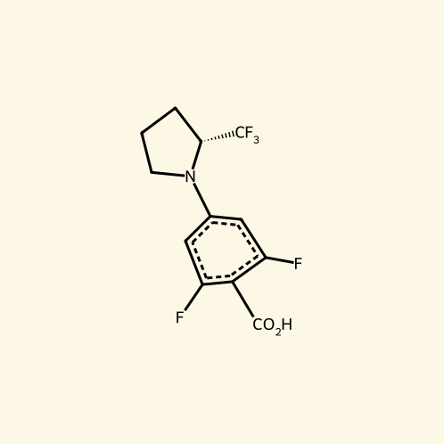 O=C(O)c1c(F)cc(N2CCC[C@@H]2C(F)(F)F)cc1F